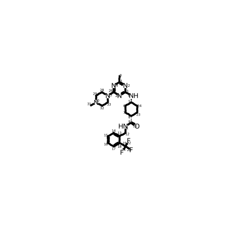 Cc1nc(N[C@H]2CC[C@@H](C(=O)NCc3ccccc3C(F)(F)F)CC2)nc(N2CCN(C)CC2)n1